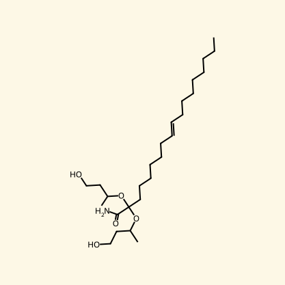 CCCCCCCCC=CCCCCCCC(OC(C)CCO)(OC(C)CCO)C(N)=O